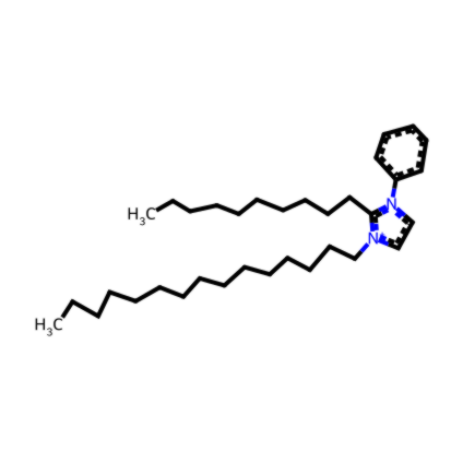 CCCCCCCCCCCCCCC[n+]1ccn(-c2ccccc2)c1CCCCCCCCCC